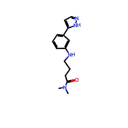 CN(C)C(=O)CCCNc1cccc(-c2ccn[nH]2)c1